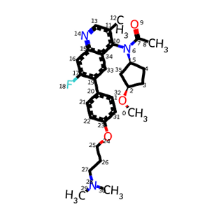 CO[C@@H]1CC[C@H](N(C(C)=O)c2c(C)cnc3cc(F)c(-c4ccc(OCCCN(C)C)cc4)cc23)C1